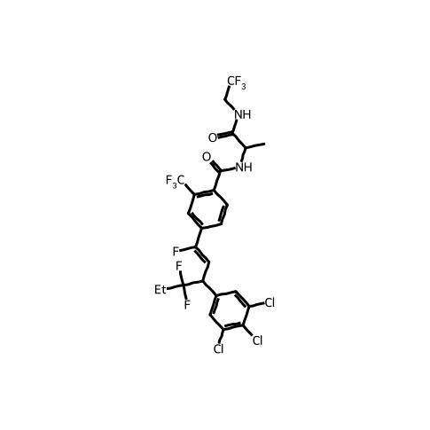 CCC(F)(F)C(/C=C(\F)c1ccc(C(=O)NC(C)C(=O)NCC(F)(F)F)c(C(F)(F)F)c1)c1cc(Cl)c(Cl)c(Cl)c1